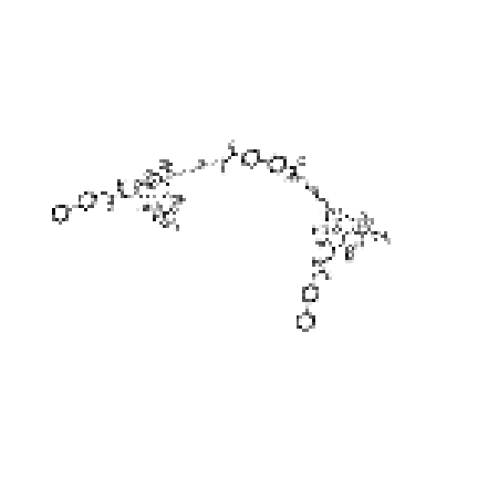 CC(=O)N[C@H]1[C@H]([C@H](O)[C@H](O)CNC(=O)Cc2ccc(-c3ccccc3)cc2)O[C@@](OCCCSCCNC(=O)c2ccc(-c3ccc(C(=O)NCCSCCCO[C@]4(C(=O)O)C[C@H](O)[C@@H](NC(C)=O)[C@H]([C@H](O)[C@H](O)CNC(=O)Cc5ccc(-c6ccccc6)cc5)O4)cc3)cc2)(C(=O)O)C[C@@H]1O